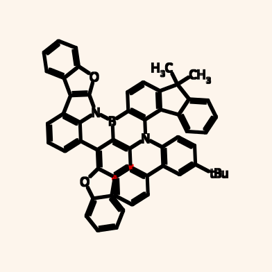 CC(C)(C)c1ccc(N2c3cc4c(oc5ccccc54)c4c3B(c3ccc5c(c32)-c2ccccc2C5(C)C)n2c3oc5ccccc5c3c3cccc-4c32)c(-c2ccccc2)c1